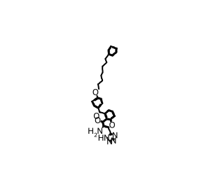 Nc1c(-c2nnn[nH]2)oc2cccc(C(=O)c3ccc(OCCCCCCCCc4ccccc4)cc3)c2c1=O